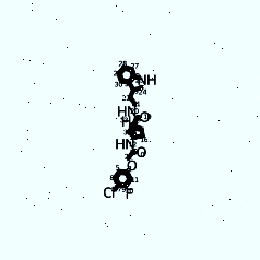 O=C(COc1ccc(Cl)c(F)c1)NC12CC(C1)[C@@H](C(=O)NCCC1CNc3ccccc31)C2